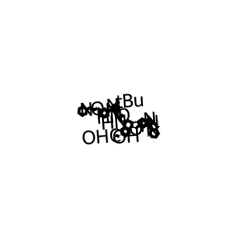 C[C@H]1CCCCN1c1nnc2ccc(O[C@@H]3CC[C@H](NC(=O)Nc4cc(C(C)(C)C)nn4-c4cccc(OCCN5CCCCC5)c4)c4ccccc43)cn12.O=CO